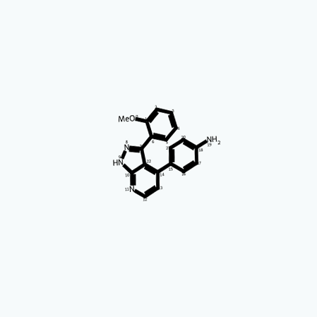 COc1ccccc1-c1n[nH]c2nccc(-c3ccc(N)cc3)c12